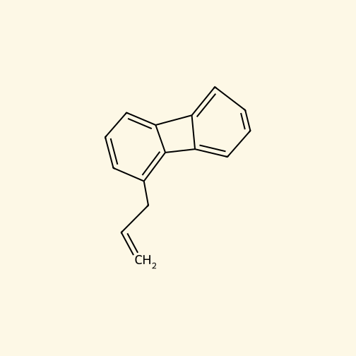 C=CCc1cccc2c1-c1ccccc1-2